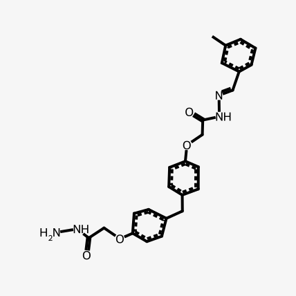 Cc1cccc(C=NNC(=O)COc2ccc(Cc3ccc(OCC(=O)NN)cc3)cc2)c1